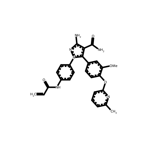 C=CC(=O)Nc1ccc(-n2nc(N)c(C(N)=O)c2-c2ccc(Oc3cccc(C)n3)c(OC)c2)cc1